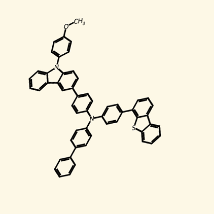 COc1ccc(-n2c3ccccc3c3cc(-c4ccc(N(c5ccc(-c6ccccc6)cc5)c5ccc(-c6cccc7c6sc6ccccc67)cc5)cc4)ccc32)cc1